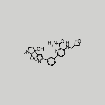 CN1CCC(O)(c2cc(-c3cccc(-c4ccc(NCC5COC5)c(C(N)=O)n4)c3)no2)C1=O